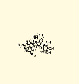 CN[C@@H]1[C@H](O[C@H]2[C@H](O[C@H]3[C@H](O)[C@@H](O)[C@H](NC(=N)N)[C@@H](O)[C@@H]3NC(=N)N)O[C@@H](C)[C@]2(O)C=O)O[C@@H](CO)[C@H](O)[C@H]1O.Cl.Cl.[CaH2]